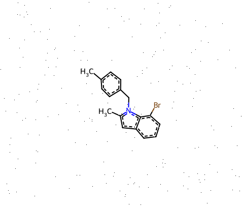 Cc1ccc(Cn2c(C)cc3cccc(Br)c32)cc1